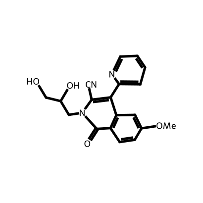 COc1ccc2c(=O)n(CC(O)CO)c(C#N)c(-c3ccccn3)c2c1